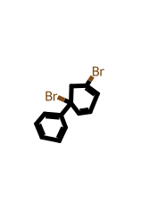 BrC1=CC=CC(Br)(c2ccccc2)C1